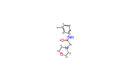 Cc1cccc(NC(=O)CN2CCOCC2)c1